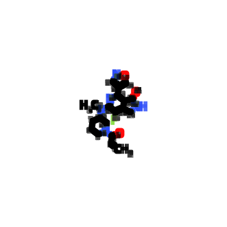 C=CC(=O)N1CCC[C@@H](N(C)C2=NC(c3cnoc3)C3C(=O)NCC3=C2F)C1